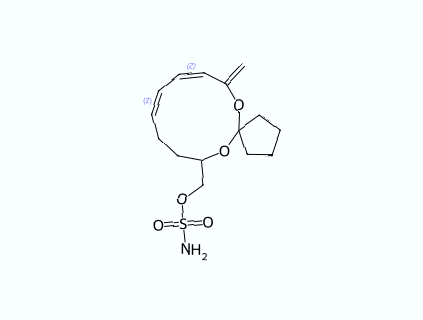 C=C1/C=C\C=C/CCC(COS(N)(=O)=O)OC2(CCCC2)O1